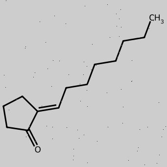 CCCCCCC/C=C1\CCCC1=O